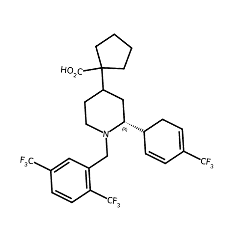 O=C(O)C1(C2CCN(Cc3cc(C(F)(F)F)ccc3C(F)(F)F)[C@@H](C3C=CC(C(F)(F)F)=CC3)C2)CCCC1